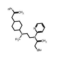 C=C(CCC)CC1CCC(N(C)CCN(C(=C)CC(C)(C)C)c2ccccn2)CC1